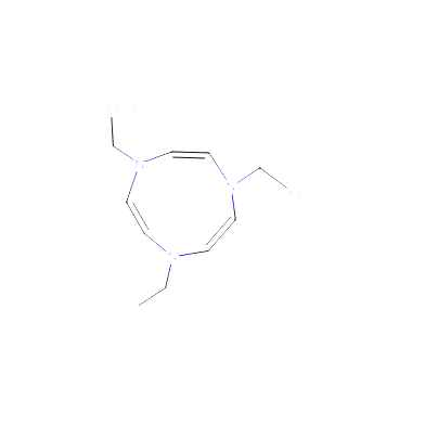 O=C(O)CN1/C=C\N(CC(=O)O)/C=C\N(CC(=O)O)/C=C\1